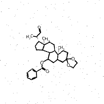 CC(C=O)[C@H]1CCC2C3C(OC(=O)c4ccccc4)CC4CC5(CC[C@]4(C)C3CC[C@@]21C)OCCO5